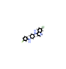 Fc1cccc(NC2CCC(Nc3ccnc4cc(Cl)ccc34)CC2)c1